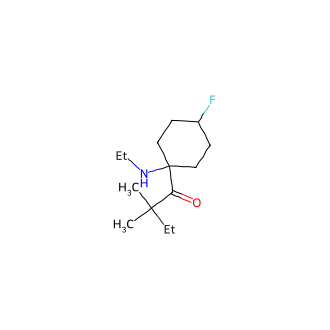 CCNC1(C(=O)C(C)(C)CC)CCC(F)CC1